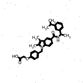 Cc1c(C)n(Cc2ccc(OCC(=O)O)cc2)c2ccc(C(=O)NC(C)c3cccc(C(C)C)c3)cc12